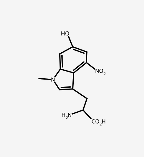 Cn1cc(CC(N)C(=O)O)c2c([N+](=O)[O-])cc(O)cc21